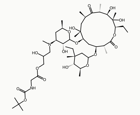 CC[C@H]1OC(=O)[C@H](C)[C@@H](OC2C[C@@](C)(CC)[C@@H](O)[C@H](C)O2)C[C@@H](OC2O[C@H](C)C[C@H](N(C)CC(O)COC(=O)CNC(=O)OC(C)(C)C)[C@H]2O)[C@](C)(O)C[C@@H](C)C(=O)[C@H](C)[C@@H](O)[C@]1(C)O